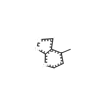 Cc1ccnc2nocc12